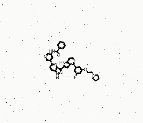 O=C(Nc1cncc(-c2ccc3[nH]nc(-c4cc5c(-c6cc(F)cc(OCCN7CCCC7)c6)nccc5[nH]4)c3n2)c1)c1ccccc1